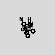 N#Cc1ccc(NC(=O)c2cc3ccccc3n2Cc2ccccc2)c(-c2nnn[nH]2)c1